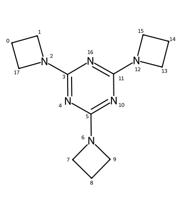 C1CN(c2nc(N3CCC3)nc(N3CCC3)n2)C1